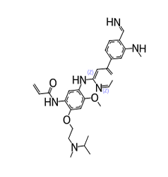 C=CC(=O)Nc1cc(NC(=C/C(=C)c2ccc(C=N)c(NC)c2)/N=C\C)c(OC)cc1OCCN(C)C(C)C